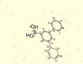 OB(O)c1cc(-c2ccccc2)cc(C2C=CC=CC2)c1